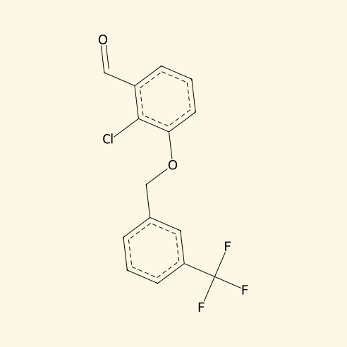 O=Cc1cccc(OCc2cccc(C(F)(F)F)c2)c1Cl